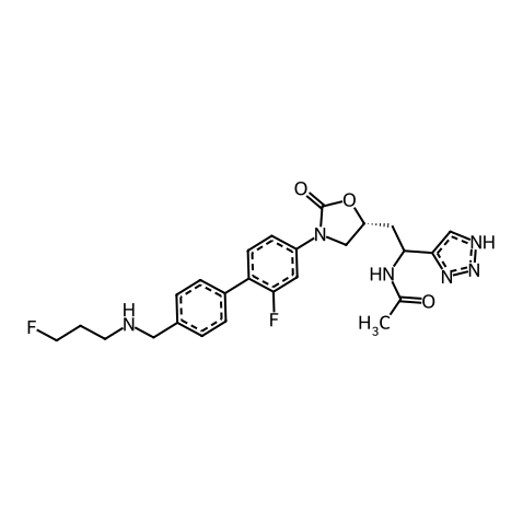 CC(=O)NC(C[C@@H]1CN(c2ccc(-c3ccc(CNCCCF)cc3)c(F)c2)C(=O)O1)c1c[nH]nn1